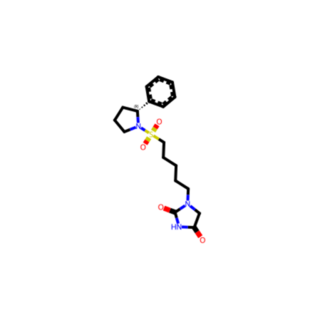 O=C1CN(CCCCCS(=O)(=O)N2CCC[C@@H]2c2ccccc2)C(=O)N1